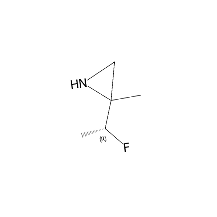 C[C@@H](F)C1(C)CN1